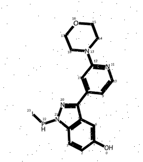 Oc1ccc2c(c1)c(-c1ccnc(N3CCOCC3)c1)nn2PI